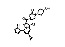 O=C(c1nn2c(-c3ccc[nH]3)cc(C3CC3)cc2c1Cl)N1CCN([C@H]2CC[C@H](O)CC2)C(=O)C1